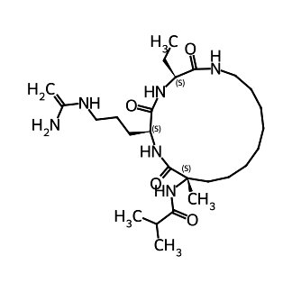 C=C(N)NCCC[C@@H]1NC(=O)[C@@](C)(NC(=O)C(C)C)CCCCCCCCNC(=O)[C@H](CC)NC1=O